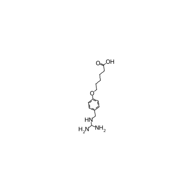 NC(N)NCc1ccc(OCCCCCC(=O)O)cc1